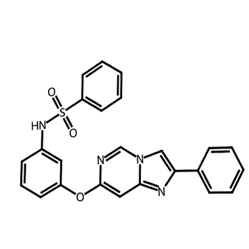 O=S(=O)(Nc1cccc(Oc2cc3nc(-c4ccccc4)cn3cn2)c1)c1ccccc1